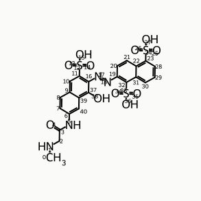 CNCC(=O)Nc1ccc2cc(S(=O)(=O)O)c(N=Nc3ccc4c(S(=O)(=O)O)cccc4c3S(=O)(=O)O)c(O)c2c1